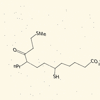 CCCC(CCC(S)CCCCC(=O)O)C(=O)CCSC